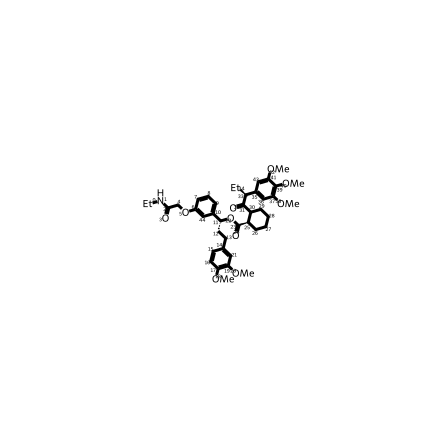 CCNC(=O)COc1cccc([C@@H](CCc2ccc(OC)c(OC)c2)OC(=O)[C@@H]2CCCCC2C(=O)[C@@H](CC)c2cc(OC)c(OC)c(OC)c2)c1